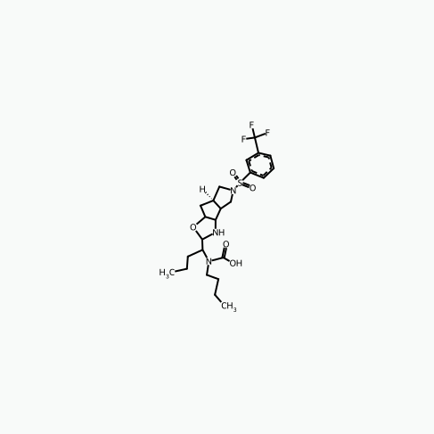 CCCCN(C(=O)O)C(CCC)C1NC2C(C[C@H]3CN(S(=O)(=O)c4cccc(C(F)(F)F)c4)CC23)O1